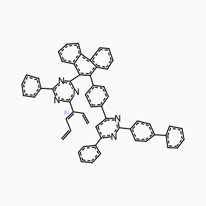 C=C/C=C(\C=C)c1nc(-c2ccccc2)nc(-c2c(-c3ccc(-c4cc(-c5ccccc5)nc(-c5ccc(-c6ccccc6)cc5)n4)cc3)c3ccccc3c3ccccc23)n1